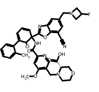 COc1cc(C(=O)NC2(c3nc4cc(CN5CC(F)C5)cc(C#N)c4o3)C=CC=C(c3ccccc3C)C2Cl)ncc1CN1CCOC[C@H]1C(=O)O